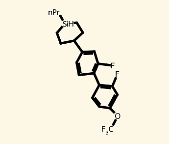 CCC[SiH]1CCC(c2ccc(-c3ccc(OC(F)(F)F)cc3F)c(F)c2)CC1